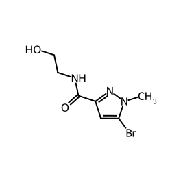 Cn1nc(C(=O)NCCO)cc1Br